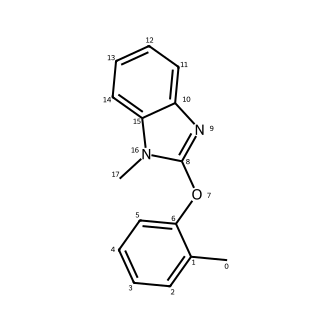 Cc1ccccc1Oc1nc2ccccc2n1C